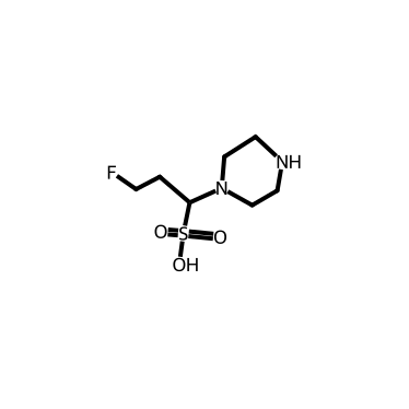 O=S(=O)(O)C(CCF)N1CCNCC1